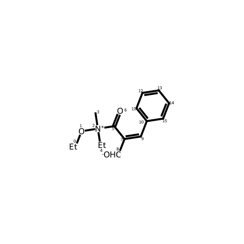 CCO[N+](C)(CC)C(=O)C([C]=O)=Cc1ccccc1